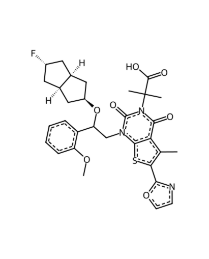 COc1ccccc1C(Cn1c(=O)n(C(C)(C)C(=O)O)c(=O)c2c(C)c(-c3ncco3)sc21)O[C@H]1C[C@H]2C[C@H](F)C[C@H]2C1